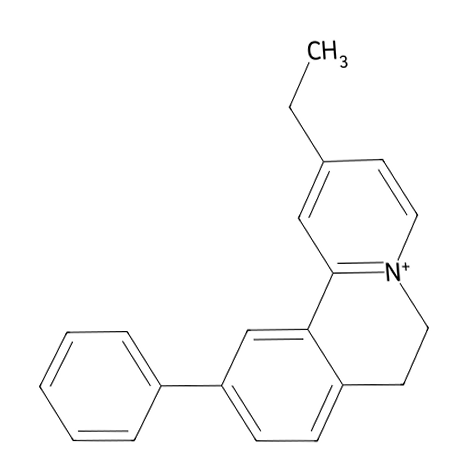 CCc1cc[n+]2c(c1)-c1cc(-c3ccccc3)ccc1CC2